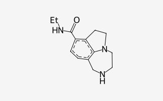 CCNC(=O)c1ccc2c3c1CCN3CCNC2